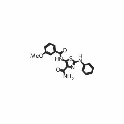 COc1cccc(C(=O)Nc2sc(Nc3ccccc3)nc2C(N)=O)c1